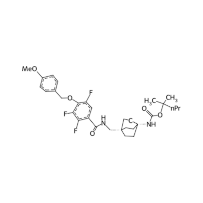 CCCC(C)(C)OC(=O)N[C@]12CC[C@](CNC(=O)c3cc(F)c(OCc4ccc(OC)cc4)c(F)c3F)(CC1)CC2